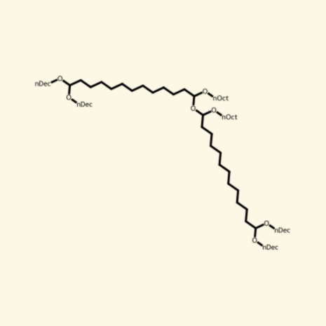 CCCCCCCCCCOC(CCCCCCCCCCCC(OCCCCCCCC)OC(CCCCCCCCCCCC(OCCCCCCCCCC)OCCCCCCCCCC)OCCCCCCCC)OCCCCCCCCCC